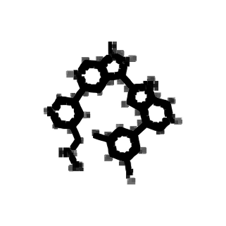 CCNCc1cncc(-c2cc3c(-c4cc5c(-c6cc(C)cc(F)c6)cncc5[nH]4)n[nH]c3cn2)c1